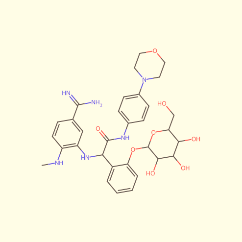 CNc1ccc(C(=N)N)cc1NC(C(=O)Nc1ccc(N2CCOCC2)cc1)c1ccccc1OC1OC(CO)C(O)C(O)C1O